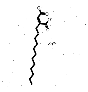 CCCCCCCCCCCCC(=CC(=O)[O-])C(=O)[O-].[Zn+2]